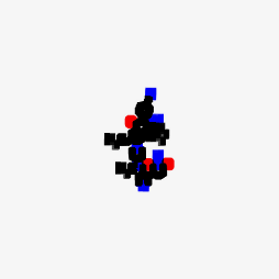 CCc1cc2c(cc1N1CCC(N(C)Cc3ccncc3C3CCC(=O)NC3=O)CC1)C(C)(C)c1[nH]c3cc(C#N)ccc3c1C2=O